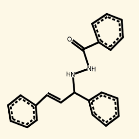 O=C(NNC(C=Cc1ccccc1)c1ccccc1)c1ccccc1